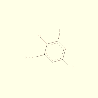 CCc1cc(C#N)cc(C(=O)O)c1N